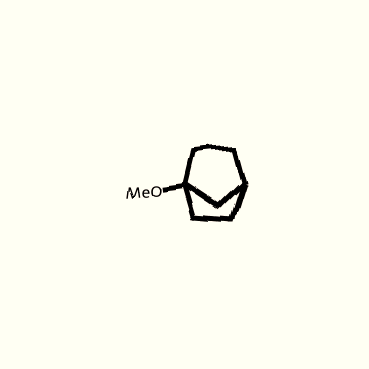 [CH2]OC12CCC(CC1)C2